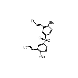 CCC=Cc1cc(S(=O)(=O)c2ccc(C(C)(C)C)c(C=CCC)c2)ccc1C(C)(C)C